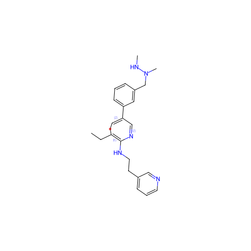 C\C=C(/C=N\C(NCCc1cccnc1)=C(/C)CC)c1cccc(CN(C)NC)c1